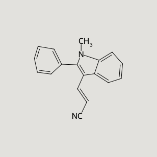 Cn1c(-c2ccccc2)c(C=CC#N)c2ccccc21